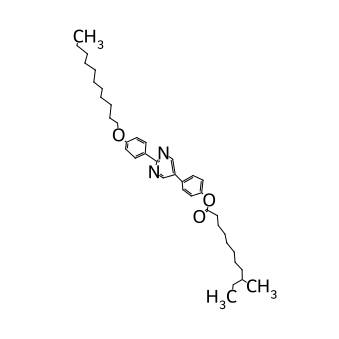 CCCCCCCCCCCOc1ccc(-c2ncc(-c3ccc(OC(=O)CCCCCCCC(C)CC)cc3)cn2)cc1